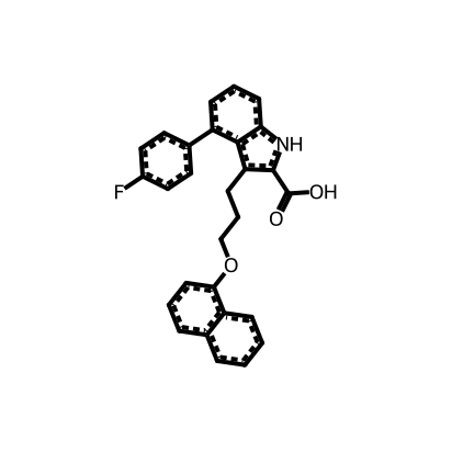 O=C(O)c1[nH]c2cccc(-c3ccc(F)cc3)c2c1CCCOc1cccc2ccccc12